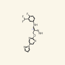 N=N/C(=C\Nc1ccc(F)c(C(F)F)c1)COc1ncc(-n2cccn2)cn1